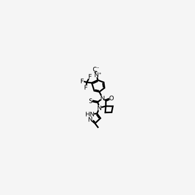 [C-]#[N+]c1ccc(N2C(=O)C3(CCC3)N(c3cc(C)n[nH]3)C2=S)cc1C(F)(F)F